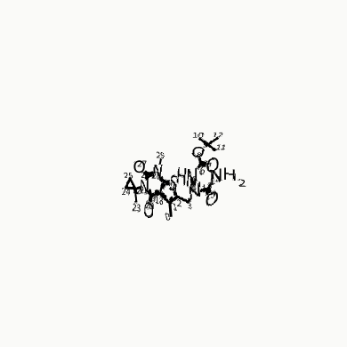 Cc1c(CN(NC(=O)OC(C)(C)C)C(N)=O)sc2c1c(=O)n(C1(C)CC1)c(=O)n2C